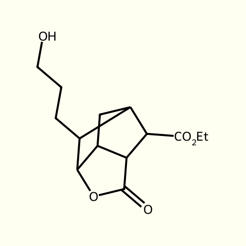 CCOC(=O)C1C2CC3C(OC(=O)C31)C2CCCO